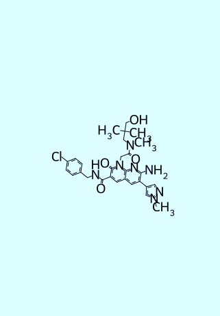 CN(CC(C)(C)CO)C(=O)Cn1c(=O)c(C(=O)NCc2ccc(Cl)cc2)cc2cc(-c3cnn(C)c3)c(N)nc21